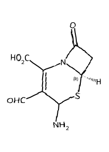 NC1S[C@@H]2CC(=O)N2C(C(=O)O)=C1C=O